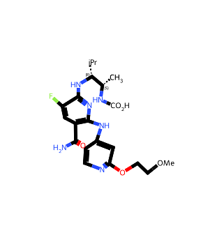 COCCOc1cc(Nc2nc(N[C@H](C(C)C)[C@H](C)NC(=O)O)c(F)cc2C(N)=O)ccn1